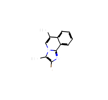 Cc1cn2c(C)c(Br)nc2c2ccccc12